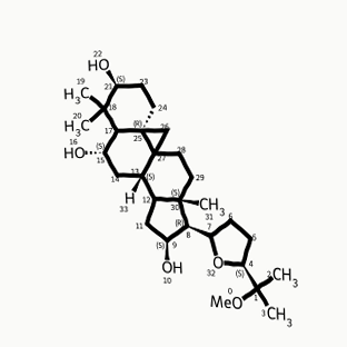 COC(C)(C)[C@@H]1CCC([C@H]2[C@@H](O)CC3[C@@H]4C[C@H](O)C5C(C)(C)[C@@H](O)CC[C@@]56CC46CC[C@@]32C)O1